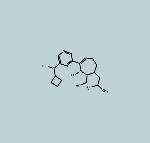 CC(C)CC1CCC=C(c2cncc(N(C)C3CCC3)n2)N(C)C1CO